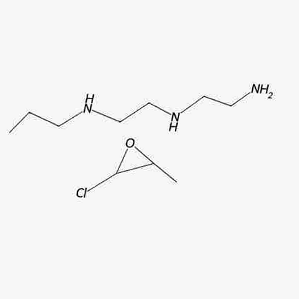 CC1OC1Cl.CCCNCCNCCN